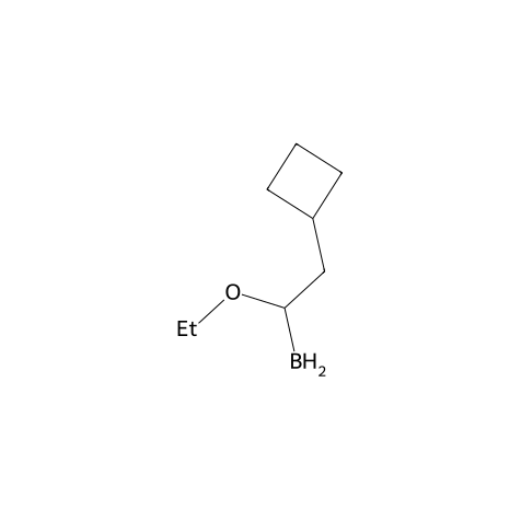 BC(CC1CCC1)OCC